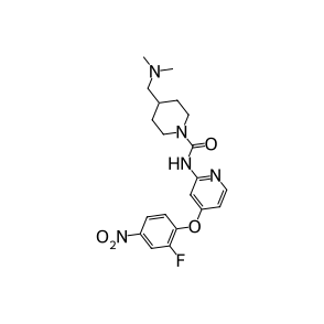 CN(C)CC1CCN(C(=O)Nc2cc(Oc3ccc([N+](=O)[O-])cc3F)ccn2)CC1